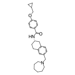 O=C(N[C@H]1CCc2cc(CN3CCCCCC3)ccc2C1)c1ccc(OCC2CC2)cc1